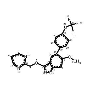 COc1cc2onc(OCc3ncccn3)c2cc1-c1ccc(OC(F)(F)F)cc1